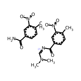 Cc1ccc(C(=O)/N=C\N(C)C)cc1[N+](=O)[O-].Cc1ccc(C(N)=O)cc1[N+](=O)[O-]